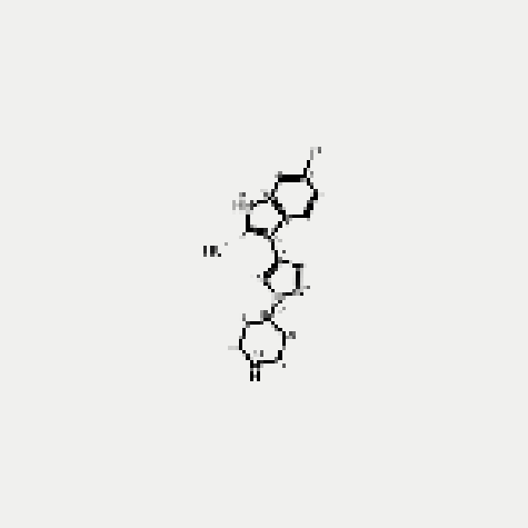 Cl.Fc1ccc2c(-c3cnn(C4CCNCC4)c3)c[nH]c2c1